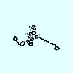 CC[N+](CC)(CC(=O)OC(C(=O)OC1CC[N+](C)(CCOc2ccccc2)CC1)(c1cccs1)c1cccs1)Cc1cc(C(O)CNCCCCCCOCCCCc2ccccc2)ccc1OP(=O)(O)O